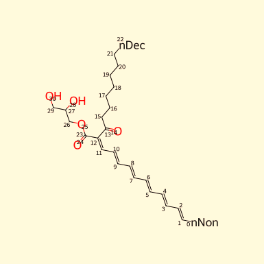 CCCCCCCCC/C=C/C=C/C=C/C=C/C=C/C=C(\C(=O)CCCCCCCCCCCCCCCCC)C(=O)OCC(O)CO